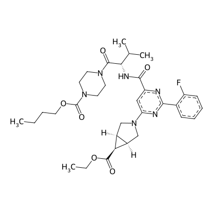 CCCCOC(=O)N1CCN(C(=O)[C@@H](NC(=O)c2cc(N3C[C@@H]4[C@H](C3)[C@@H]4C(=O)OCC)nc(-c3ccccc3F)n2)C(C)C)CC1